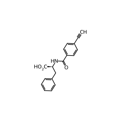 C#Cc1ccc(C(=O)N[C@@H](Cc2ccccc2)C(=O)O)cc1